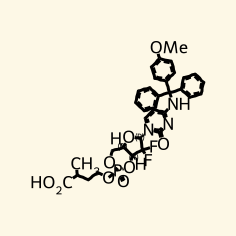 COc1ccc(C(Nc2ccn([C@@H]3O[C@@H]4COP(=O)(OCCC(C)C(=O)O)O[C@H]4C3(F)F)c(=O)n2)(c2ccccc2)c2ccccc2)cc1